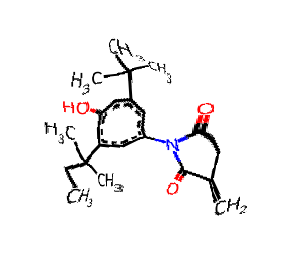 C=C1CC(=O)N(c2cc(C(C)(C)C)c(O)c(C(C)(C)CC)c2)C1=O